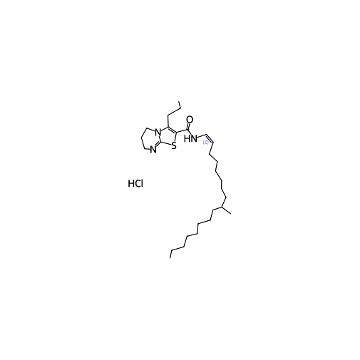 CCCCCCCCC(C)CCCCCC/C=C\NC(=O)C1=C(CCC)N2CCCN=C2S1.Cl